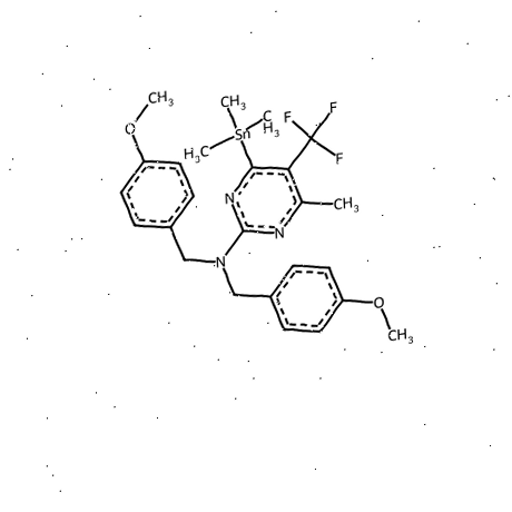 COc1ccc(CN(Cc2ccc(OC)cc2)c2nc(C)c(C(F)(F)F)[c]([Sn]([CH3])([CH3])[CH3])n2)cc1